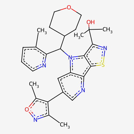 Cc1cccnc1C(C1CCOCC1)n1c2cc(-c3c(C)noc3C)cnc2c2snc(C(C)(C)O)c21